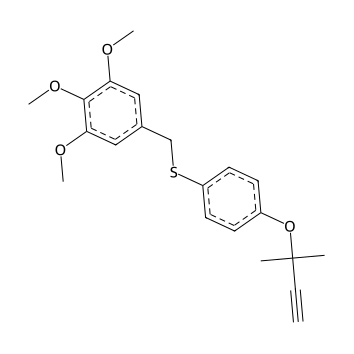 C#CC(C)(C)Oc1ccc(SCc2cc(OC)c(OC)c(OC)c2)cc1